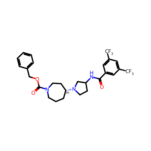 O=C(NC1CCN([C@@H]2CCCN(C(=O)OCc3ccccc3)CC2)C1)c1cc(C(F)(F)F)cc(C(F)(F)F)c1